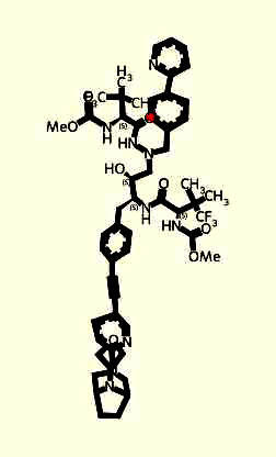 COC(=O)N[C@H](C(=O)N[C@@H](Cc1ccc(C#Cc2ccc(N3CC4CCC(C3)N4C3COC3)nc2)cc1)[C@@H](O)CN(Cc1ccc(-c2ccccn2)cc1)NC(=O)[C@@H](NC(=O)OC)C(C)(C)C(F)(F)F)C(C)(C)C(F)(F)F